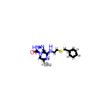 CC(C)(C)c1cn2c(=O)[nH]nc2c(NCCSCc2ccccc2)n1